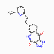 Cc1cccc(C=Cc2ccc3c(=O)c4[nH]nnc4c(=O)[nH]c3c2)n1